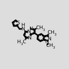 Cc1cc(NCc2cccs2)n2nc(C)c(-c3ccc4c(c3)c(C)nn4C)c2n1